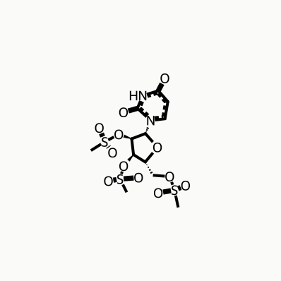 CS(=O)(=O)OC[C@H]1O[C@@H](n2ccc(=O)[nH]c2=O)[C@H](OS(C)(=O)=O)[C@@H]1OS(C)(=O)=O